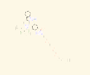 C[C@@H]1Cc2c([nH]c3ccccc23)[C@@H](c2c(F)cc(C(=O)NCCCOCCOCCOCC(=O)O)cc2F)N1CC(C)(C)F